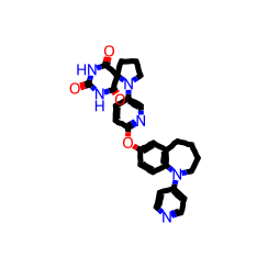 O=C1NC(=O)C2(CCCN2c2ccc(Oc3ccc4c(c3)CCCCN4c3ccncc3)nc2)C(=O)N1